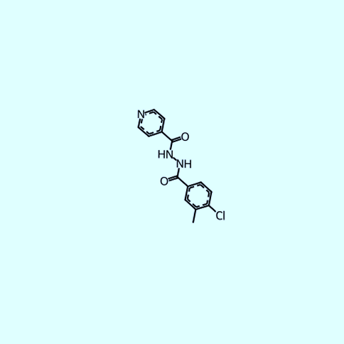 Cc1cc(C(=O)NNC(=O)c2ccncc2)ccc1Cl